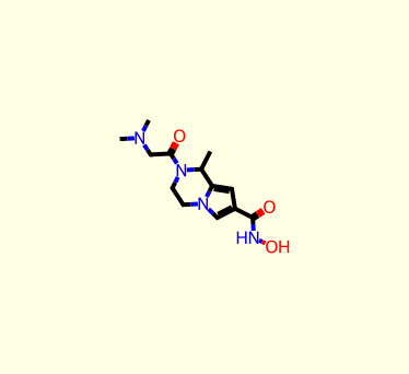 CC1c2cc(C(=O)NO)cn2CCN1C(=O)CN(C)C